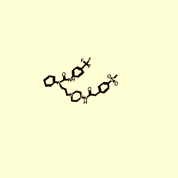 CS(=O)(=O)c1ccc(CC(=O)NN2CCN(CCCN(C(=O)Nc3ccc(C(F)(F)F)cc3)c3ccccc3)CC2)cc1